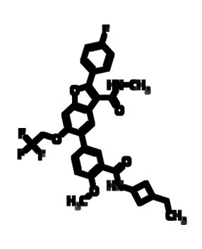 CCC1CC(NC(=O)c2cc(-c3cc4c(C(=O)NC)c(-c5ccc(F)cc5)oc4cc3OCC(F)(F)F)ccc2OC)C1